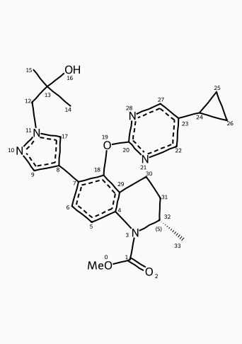 COC(=O)N1c2ccc(-c3cnn(CC(C)(C)O)c3)c(Oc3ncc(C4CC4)cn3)c2CC[C@@H]1C